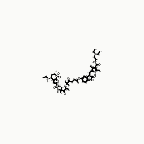 CCN[C@H]1C[C@H](C)S(=O)(=O)c2sc(S(=O)(=O)NC(C)(C)C(=O)C(C)OC(C)(C)C(=O)CCC(=O)Oc3ccc4c(c3)/C(=C/c3[nH]c(C)c(C(=O)NCCN(CC)CC)c3C)C(=O)N4)cc21